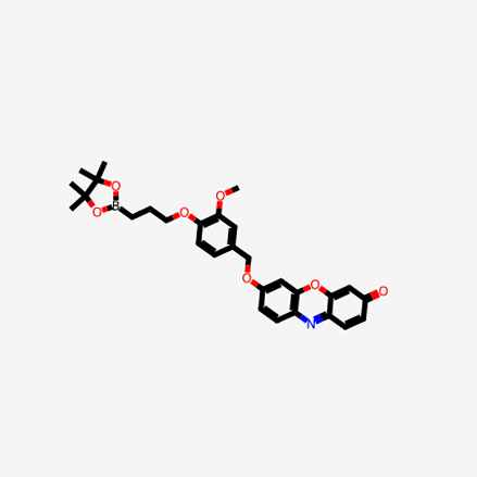 COc1cc(COc2ccc3nc4ccc(=O)cc-4oc3c2)ccc1OCCCB1OC(C)(C)C(C)(C)O1